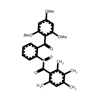 COc1cc(OC)c(C(=O)c2ccccc2[P](=O)C(=O)c2c(C)cc(C)c(C)c2C)c(OC)c1